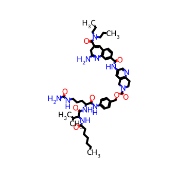 CCCCCCC(=O)NC(C(=O)NC(CCCNC(N)=O)C(=O)Nc1ccc(COC(=O)N2CCc3ncc(NC(=O)c4ccc5c(c4)N=C(N)CC(C(=O)N(CCC)CCC)=C5)cc3C2)cc1)C(C)C